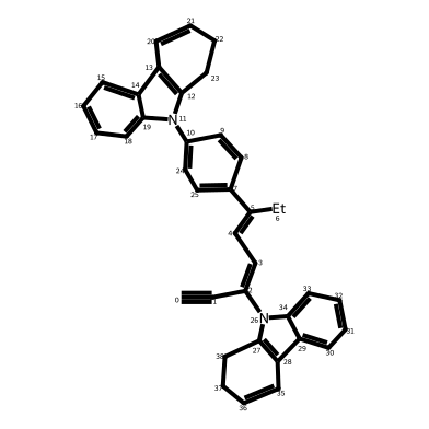 C#C/C(=C\C=C(/CC)c1ccc(-n2c3c(c4ccccc42)C=CCC3)cc1)n1c2c(c3ccccc31)C=CCC2